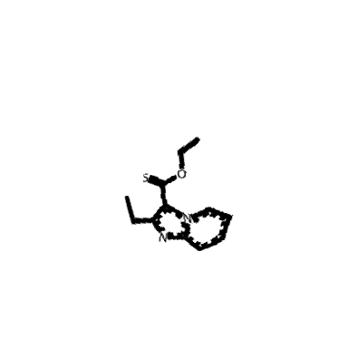 CCOC(=S)c1c(CC)nc2ccccn12